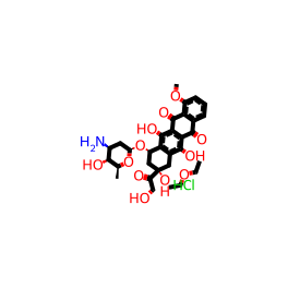 CCOCC.COc1cccc2c1C(=O)c1c(O)c3c(c(O)c1C2=O)C[C@@](O)(C(=O)CO)C[C@@H]3O[C@H]1C[C@H](N)[C@H](O)[C@H](C)O1.Cl